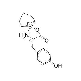 O=C1O[B-]2([NH2+][C@H]1Cc1ccc(O)cc1)C1CCCC2CCC1